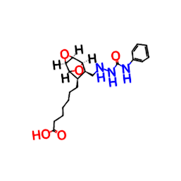 O=C(O)CCCCCC[C@@H]1[C@H](CNNC(=O)Nc2ccccc2)[C@H]2O[C@@H]1[C@H]1O[C@H]12